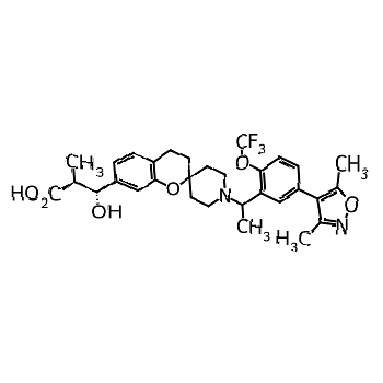 Cc1noc(C)c1-c1ccc(OC(F)(F)F)c(C(C)N2CCC3(CCc4ccc([C@H](O)[C@H](C)C(=O)O)cc4O3)CC2)c1